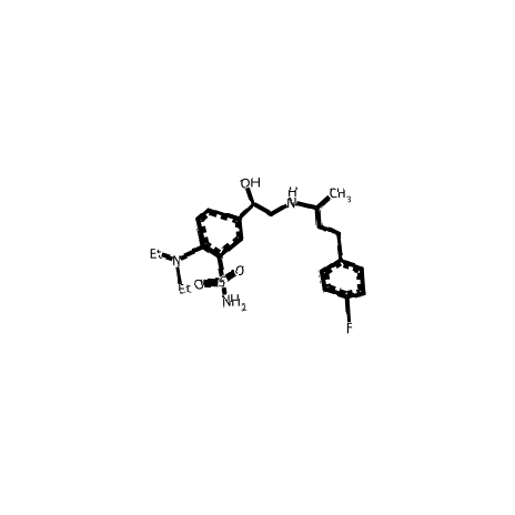 CCN(CC)c1ccc(C(O)CNC(C)CCc2ccc(F)cc2)cc1S(N)(=O)=O